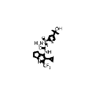 CC(C)(O)c1csc([S@](N)(=O)=NC(=O)Nc2c3c(nc(C(F)(F)F)c2C2CC2)CCC3)c1